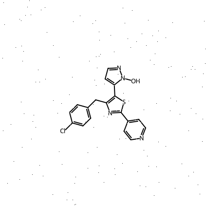 On1nccc1-c1sc(-c2ccncc2)nc1Cc1ccc(Cl)cc1